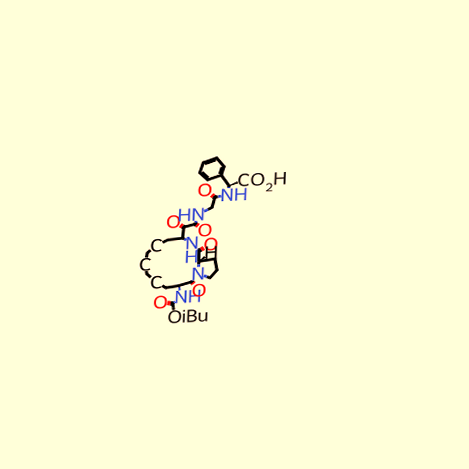 CC(C)COC(=O)N[C@H]1CCCCCCCC(C(=O)C(=O)NCC(=O)N[C@H](C(=O)O)c2ccccc2)NC(=O)[C@@H]2CCCN2C1=O